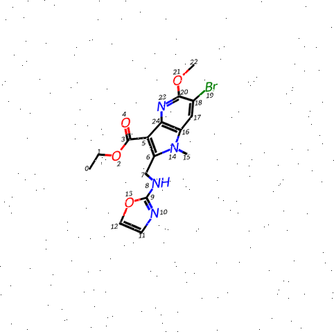 CCOC(=O)c1c(CNc2ncco2)n(C)c2cc(Br)c(OC)nc12